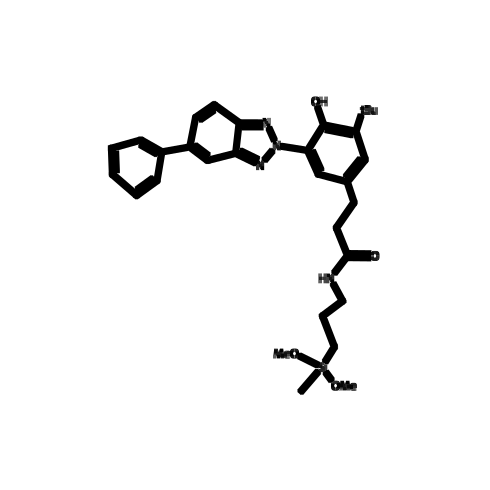 CO[Si](C)(CCCNC(=O)CCc1cc(-n2nc3ccc(-c4ccccc4)cc3n2)c(O)c(C(C)(C)C)c1)OC